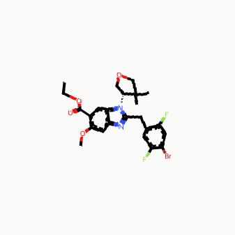 CCOC(=O)c1cc2c(cc1OC)nc(Cc1cc(F)c(Br)cc1F)n2[C@@H]1COCC1(C)C